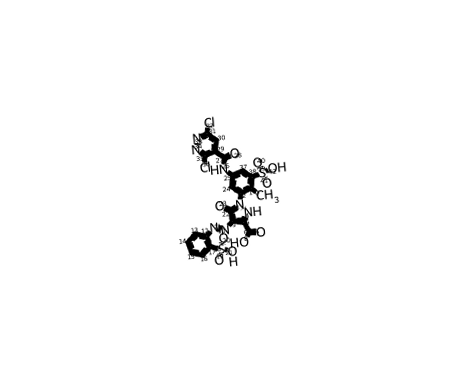 Cc1c(-n2[nH]c(C(=O)O)c(N=Nc3ccccc3S(=O)(=O)O)c2=O)cc(NC(=O)c2cc(Cl)nnc2Cl)cc1S(=O)(=O)O